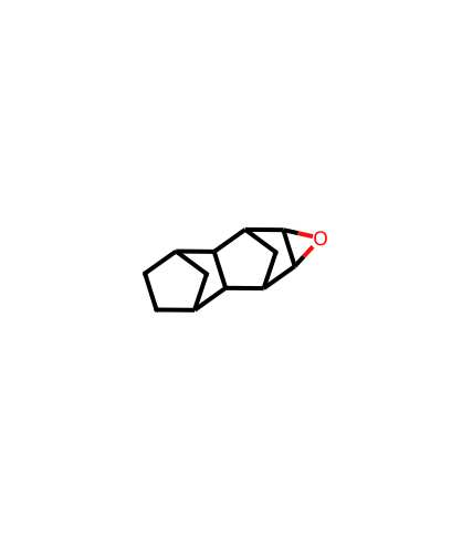 C1CC2CC1C1C3CC(C4OC34)C21